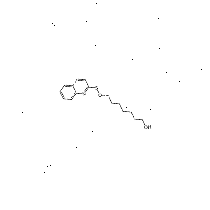 OCCCCCCCOSc1ccc2ccccc2n1